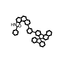 c1ccc(C2Nc3ccc4ccc5ccc(-c6cccc(-c7ccc8c(c7)C7(c9ccccc9-c9ccccc97)c7ccc9ccccc9c7-8)c6)cc5c4c3O2)cc1